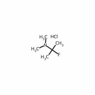 CN(C)C(C)(C)F.Cl